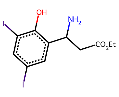 CCOC(=O)CC(N)c1cc(I)cc(I)c1O